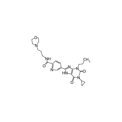 CCCn1c(=O)n(C2CC2)c(=O)c2[nH]c(-c3ccc(C(=O)NCCCN4CCOCC4)nc3)nc21